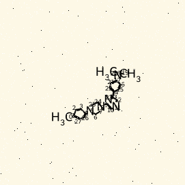 Cc1ccc(N2CCN(c3cncc(-c4ccc(N(C)C)cc4)n3)CC2)cc1